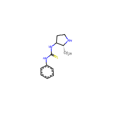 O=C(O)[C@H]1NCCC1NC(=S)Nc1ccccc1